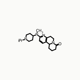 CC(C)N1CCC(N(C)c2ccc3c(n2)CCN2C(=O)CCCC32)CC1